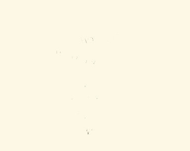 Cl.Cl.Nc1ccc(CCNC[C@H](O)c2ccccc2)cc1